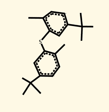 Cc1c[c]c(C(C)(C)C)cc1Sc1cc(C(C)(C)C)[c]cc1C